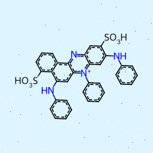 O=S(=O)(O)c1cc2nc3c4cccc(S(=O)(=O)O)c4c(Nc4ccccc4)cc3[n+](-c3ccccc3)c2cc1Nc1ccccc1